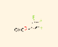 O=COCc1cc(F)c(F)c(F)c1